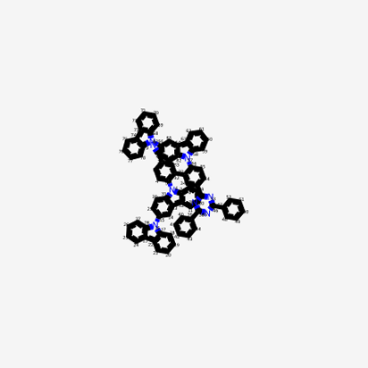 N#Cc1ccc(-n2c3ccccc3c3cc(-n4c5ccccc5c5ccccc54)ccc32)c(-c2cc(-c3nc(-c4ccccc4)nc(-c4ccccc4)n3)ccc2-n2c3ccccc3c3cc(-n4c5ccccc5c5ccccc54)ccc32)c1